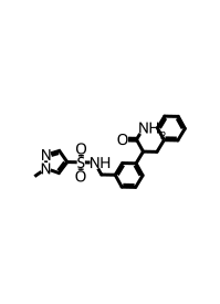 Cn1cc(S(=O)(=O)NCc2cccc(C(Cc3ccccc3)C(N)=O)c2)cn1